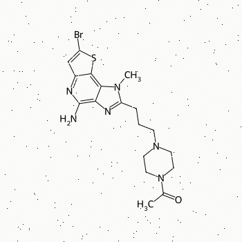 CC(=O)N1CCN(CCCc2nc3c(N)nc4cc(Br)sc4c3n2C)CC1